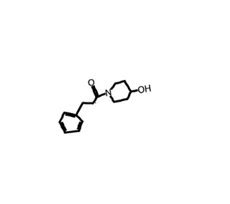 O=C([CH]Cc1ccccc1)N1CCC(O)CC1